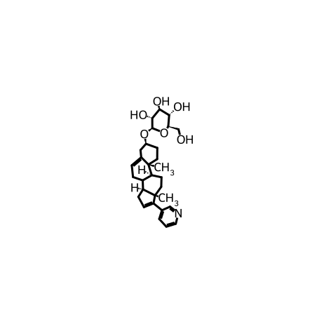 C[C@]12CC[C@H](O[C@@H]3O[C@H](CO)[C@@H](O)[C@H](O)[C@H]3O)CC1=CCC1[C@@H]2CC[C@]2(C)C(c3cccnc3)=CC[C@@H]12